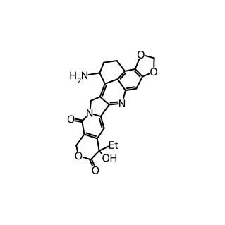 CCC1(O)C(=O)OCc2c1cc1n(c2=O)Cc2c-1nc1cc3c(c4c1c2C(N)CC4)OCO3